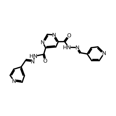 O=C(N/N=C/c1ccncc1)c1cc(C(=O)N/N=C/c2ccncc2)ncn1